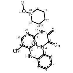 C=CC(=O)Nc1ccccc1Nc1nc(N[C@H]2CCCN(OC)C2)ncc1Cl